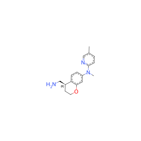 Cc1ccc(N(C)c2ccc3c(c2)OCC[C@H]3CN)nc1